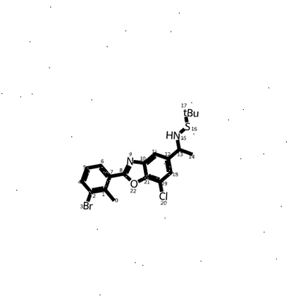 Cc1c(Br)cccc1-c1nc2cc(C(C)NSC(C)(C)C)cc(Cl)c2o1